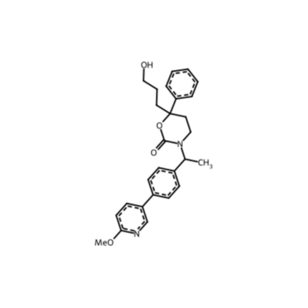 COc1ccc(-c2ccc(C(C)N3CCC(CCCO)(c4ccccc4)OC3=O)cc2)cn1